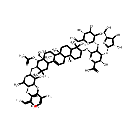 C/C=C(/C)C(=O)O[C@@H]1C(O)[C@H](C[C@H]2[C@H](OC(C)=O)[C@@]3(CO)C(CC2(C)C)C2=CCC4[C@@]5(C)CC[C@H](O[C@@H]6OC(C(=O)O)[C@@H](O)[C@@H](O[C@@H]7O[C@@H](CO)C(O)[C@@H]7O)C6O[C@@H]6OC(CO)[C@H](O)[C@@H](O)C6O)C(C)(C)C5CC[C@@]4(C)[C@]2(C)C[C@H]3O)OC(C)[C@@H]1OC(=O)/C(C)=C\C